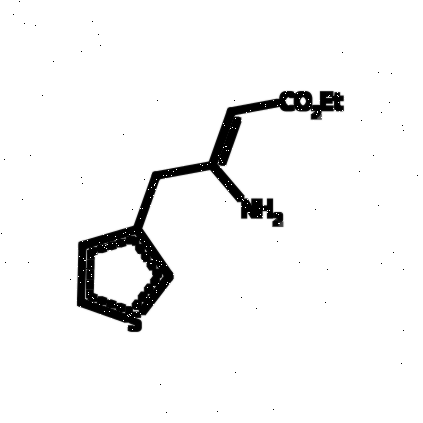 CCOC(=O)/C=C(\N)Cc1ccsc1